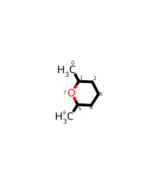 C[C]1CCCC(C)O1